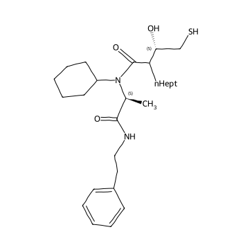 CCCCCCCC(C(=O)N(C1CCCCC1)[C@@H](C)C(=O)NCCc1ccccc1)[C@H](O)CS